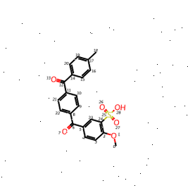 COc1ccc(C(=O)c2ccc(C(=O)c3ccc(C)cc3)cc2)cc1S(=O)(=O)O